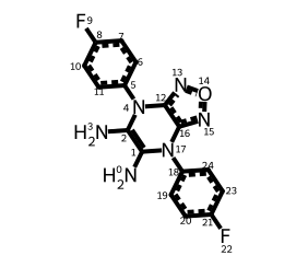 NC1=C(N)N(c2ccc(F)cc2)c2nonc2N1c1ccc(F)cc1